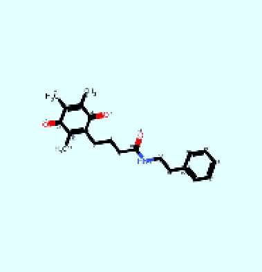 CC1=C(C)C(=O)C(CCCC(=O)NCCc2ccccc2)=C(C)C1=O